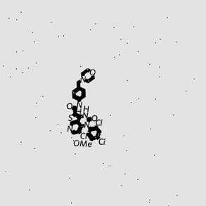 COc1cc(N2C(=O)Nc3c(C(=O)Nc4ccc(CN5CCOCC5)cc4)sc4ncc(C#N)c2c34)c(Cl)cc1Cl